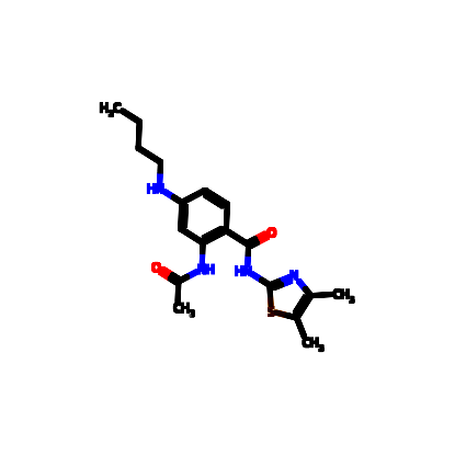 CCCCNc1ccc(C(=O)Nc2nc(C)c(C)s2)c(NC(C)=O)c1